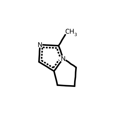 Cc1ncc2n1CCC2